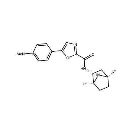 CNc1ccc(-c2cnc(C(=O)N[C@@H]3C[C@H]4CC[C@@H]3N4)o2)cc1